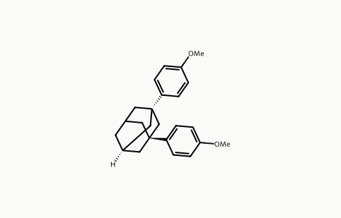 COc1ccc([C@]23CC4C[C@H](C2)C[C@@](c2ccc(OC)cc2)(C4)C3)cc1